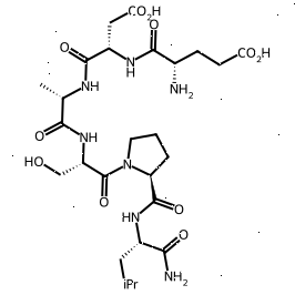 CC(C)C[C@H](NC(=O)[C@@H]1CCCN1C(=O)[C@H](CO)NC(=O)[C@H](C)NC(=O)[C@H](CC(=O)O)NC(=O)[C@@H](N)CCC(=O)O)C(N)=O